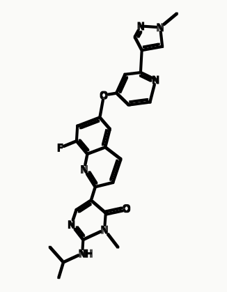 CC(C)Nc1ncc(-c2ccc3cc(Oc4ccnc(-c5cnn(C)c5)c4)cc(F)c3n2)c(=O)n1C